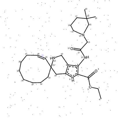 CCOC(=O)c1[nH]c2c(c1NC(=O)CN1CCCC(C)(C)C1)CNC1(/C=C\CCCCCCC1)C2